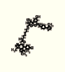 Cc1ncsc1-c1ccc(CNC(=O)[C@@H]2C[C@@H](O)CN2C(=O)C(NC(=O)COCCCSCCNC(=O)C[C@@H]2N=C(c3ccc(Cl)cc3)c3c(sc(C)c3C)-n3c(C)nnc32)C(C)(C)C)cc1